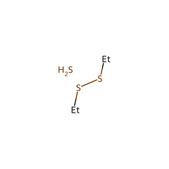 CCSSCC.S